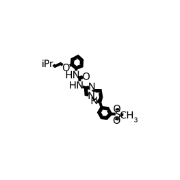 CC(C)CCOc1ccccc1NC(=O)Nc1cn2nc(-c3cccc(S(C)(=O)=O)c3)ccc2n1